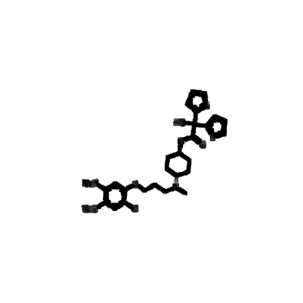 COc1cc(OCCCN(C)[C@H]2CC[C@H](OC(=O)C(O)(c3cccs3)c3cccs3)CC2)c(Cl)cc1C=O